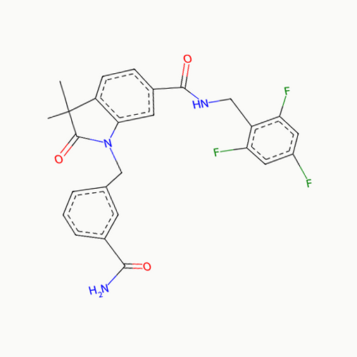 CC1(C)C(=O)N(Cc2cccc(C(N)=O)c2)c2cc(C(=O)NCc3c(F)cc(F)cc3F)ccc21